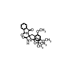 COc1ccc(C[C@]2(N3C(=O)c4ccccc4C3=O)C(=O)N[C@H]2[C@H]2COC(C)(C)O2)c(OC)c1